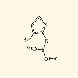 OB(O)Oc1sccc1Br